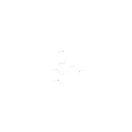 COc1cc(NC(C)=O)c(NC(C)=O)cc1C(=O)O